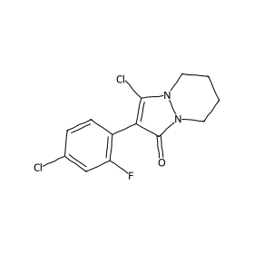 O=c1c(-c2ccc(Cl)cc2F)c(Cl)n2n1CCCC2